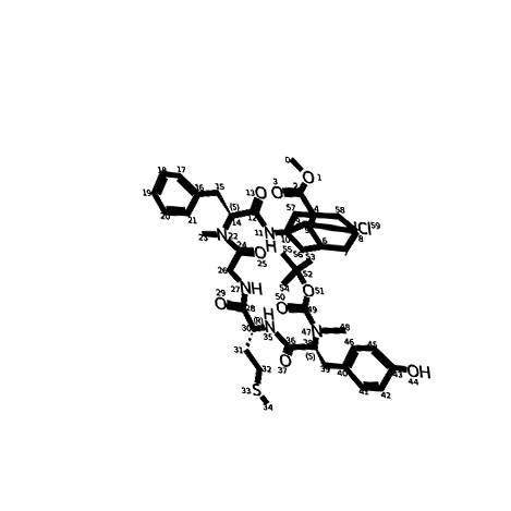 COC(=O)C12CC3CC(CC(NC(=O)[C@H](Cc4ccccc4)N(C)C(=O)CNC(=O)[C@@H](CCSC)NC(=O)[C@H](Cc4ccc(O)cc4)N(C)C(=O)OC(C)(C)C)(C3)C1)C2.Cl